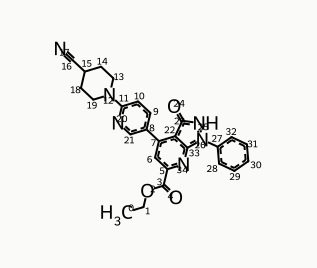 CCOC(=O)c1cc(-c2ccc(N3CCC(C#N)CC3)nc2)c2c(=O)[nH]n(-c3ccccc3)c2n1